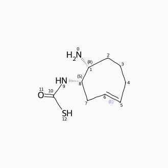 N[C@@H]1CCC/C=C/C[C@@H]1NC(=O)S